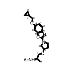 CC(=O)NC(C)COC1CCN(c2nc3ccc(OCC4CC4)cc3o2)C1